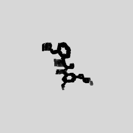 O=C(Nc1cc(F)cc(OC(F)(F)F)c1)Nc1ccccc1CO